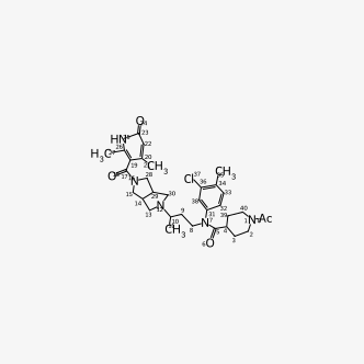 CC(=O)N1CCC(C(=O)N(CCC(C)N2CC3CN(C(=O)c4c(C)cc(=O)[nH]c4C)CC3C2)c2ccc(C)c(Cl)c2)CC1